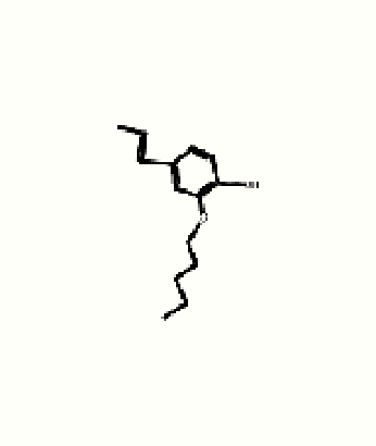 CC=Cc1ccc(O)c(OCCCCC)c1